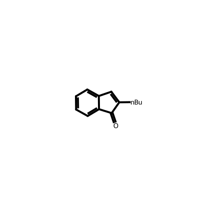 CCCCC1=Cc2ccccc2C1=O